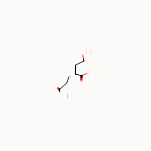 CC(=O)CC[C@@H](CC(=O)O)C(=O)O